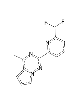 Cc1nc(-c2cccc(C(F)F)n2)nn2cccc12